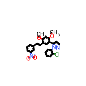 COc1cc(OC)c(-c2ccnn2-c2ccccc2Cl)cc1C=Cc1cccc([N+](=O)[O-])c1